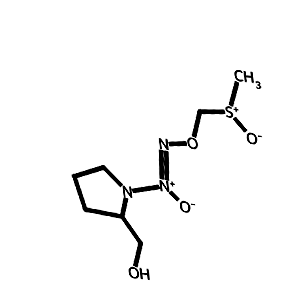 C[S+]([O-])CO/N=[N+](\[O-])N1CCCC1CO